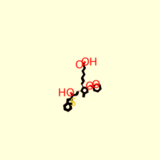 C=C1C[C@H](OC2CCCCO2)[C@H](CC=CCCCC(=O)O)[C@H]1C=CC(O)c1cc2ccccc2s1